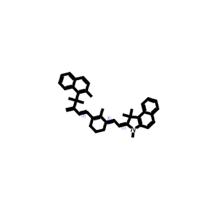 C=C(/C=C/C1=C(C)C(=C/C=C2/N(C)c3ccc4ccccc4c3C2(C)C)/CCC1)C(C)(C)c1c(C)ccc2ccccc12